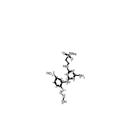 CNS(=O)(=O)CCNc1nc(N)nc(Nc2cc(S(=O)(=O)O)ccc2SOOO)n1